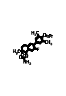 CCCOc1c(C)cc(-c2cc3c(cc2F)[C@H](OC(N)=O)C(C)(C)CC3)cc1C